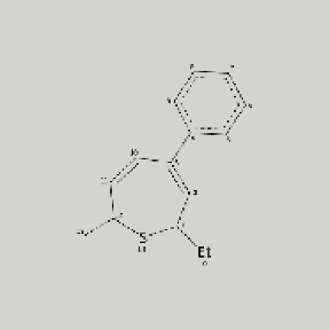 CCC1C=C(c2ccccc2)C=CC(C)S1